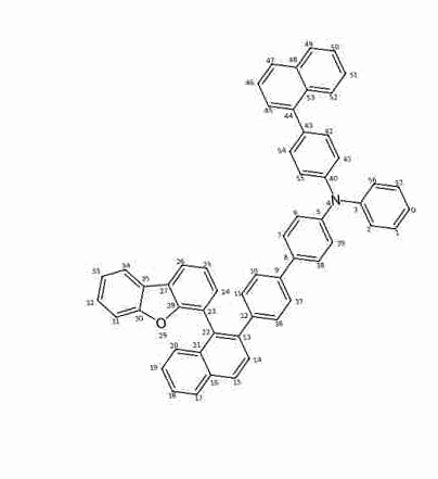 c1ccc(N(c2ccc(-c3ccc(-c4ccc5ccccc5c4-c4cccc5c4oc4ccccc45)cc3)cc2)c2ccc(-c3cccc4ccccc34)cc2)cc1